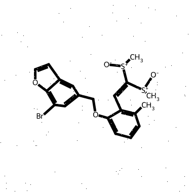 Cc1cccc(OCc2cc(Br)c3occc3c2)c1C=C([S+](C)[O-])[S+](C)[O-]